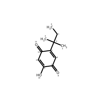 CCC(C)(C)C1=CC(=O)C(O)=CC1=O